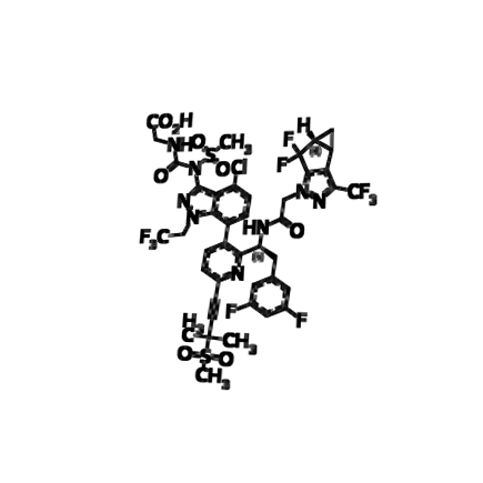 CC(C)(C#Cc1ccc(-c2ccc(Cl)c3c(N(C(=O)NCC(=O)O)S(C)(=O)=O)nn(CC(F)(F)F)c23)c([C@H](Cc2cc(F)cc(F)c2)NC(=O)Cn2nc(C(F)(F)F)c3c2C(F)(F)[C@@H]2CC32)n1)S(C)(=O)=O